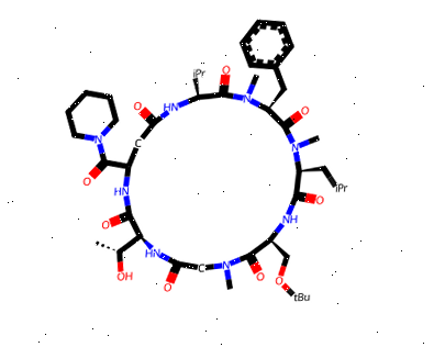 CC(C)C[C@H]1C(=O)N[C@@H](COC(C)(C)C)C(=O)N(C)CC(=O)N[C@@H]([C@@H](C)O)C(=O)NC(C(=O)N2CCCCC2)CC(=O)N[C@@H](C(C)C)C(=O)N(C)[C@@H](Cc2ccccc2)C(=O)N1C